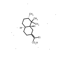 CC/C(C(=O)O)=C1/CC[C@H]2CC[C@H](C)C(C)(C)[C@@H]2C1